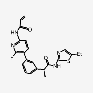 C=CC(=O)Nc1ccc(-c2cccc([C@H](C)C(=O)Nc3ncc(CC)s3)c2)c(F)n1